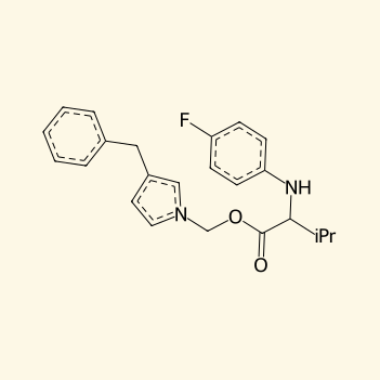 CC(C)C(Nc1ccc(F)cc1)C(=O)OCn1ccc(Cc2ccccc2)c1